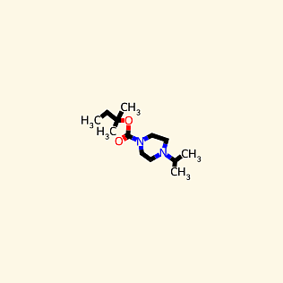 CCC(C)(C)OC(=O)N1CCN(C(C)C)CC1